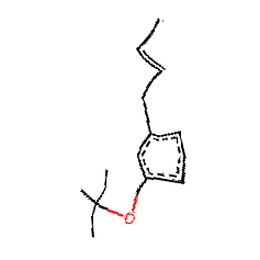 [CH2]C=CCc1cccc(OC(C)(C)C)c1